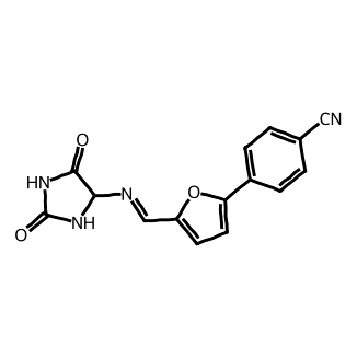 N#Cc1ccc(-c2ccc(C=NC3NC(=O)NC3=O)o2)cc1